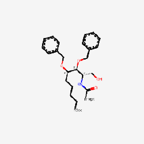 CCCCCCCCCCCCCC[C@@H](OCc1ccccc1)[C@@H](OCc1ccccc1)[C@H](CO)NC(=O)CCCCCCC